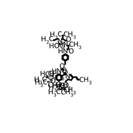 C=CCN(C(=O)O)C(C(=O)NC(C)C(=O)Nc1ccc(COC(=O)Nc2cc(O[Si](C(C)C)(C(C)C)C(C)C)c(OC)cc2C(=O)N2C=C(C=CC)CC2CO[Si](C)(C)C(C)(C)C)cc1)C(C)C